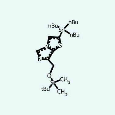 CCC[CH2][Sn]([CH2]CCC)([CH2]CCC)[c]1cn2cnc(CO[Si](C)(C)C(C)(C)C)c2s1